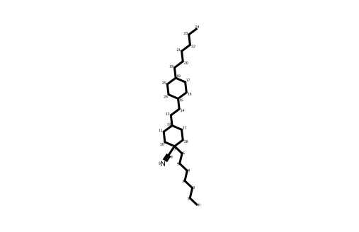 CCCCCCCC1(C#N)CCC(CCC2CCC(CCCCCC)CC2)CC1